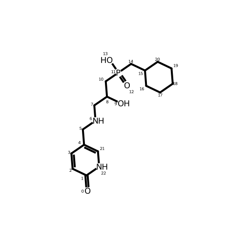 O=c1ccc(CNCC(O)CP(=O)(O)CC2CCCCC2)c[nH]1